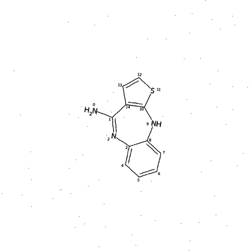 NC1=Nc2ccccc2Nc2sccc21